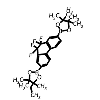 CCC1(C)OB(c2ccc3c(c2)C(F)(F)C(F)(F)c2cc(B4OC(C)(C)C(C)(C)O4)ccc2-3)OC1(C)C